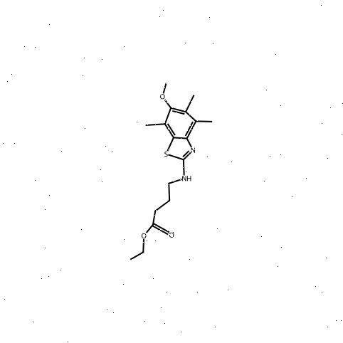 CCOC(=O)CCCNc1nc2c(C)c(C)c(OC)c(C)c2s1